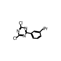 CC(C)c1cccc(-c2nc(Cl)nc(Cl)n2)c1